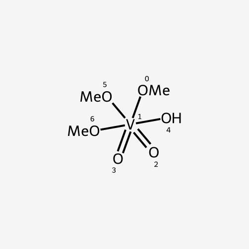 C[O][V](=[O])(=[O])([OH])([O]C)[O]C